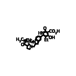 CCc1c(-c2ccc3c(c2)cc(CN2CCC(C(=O)N(C)C)C2)n3C)[nH]c(=O)c(C(=O)O)c1O